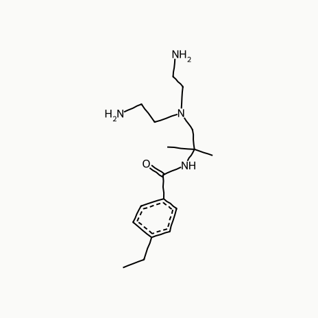 CCc1ccc(C(=O)NC(C)(C)CN(CCN)CCN)cc1